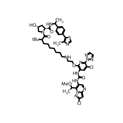 COC(C)c1c(NC(=O)Nc2cc(Cl)c(-n3nccn3)nc2OCCNCCCCCCCC(C(=O)N2C[C@H](O)C[C@H]2C(=O)NC(C)c2ccc(-c3scnc3C)cc2)C(C)(C)C)cnc2cc(Cl)nn12